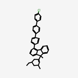 CCC1CC(C2(C)c3ccccc3-c3c(-c4ccc(-c5ccc(-c6ccc(Cl)cc6)cc5)cc4)cccc32)=CC(C)C1